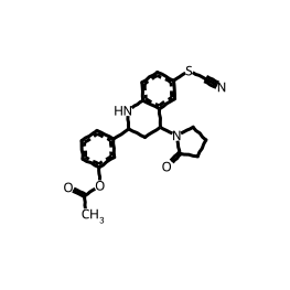 CC(=O)Oc1cccc(C2CC(N3CCCC3=O)c3cc(SC#N)ccc3N2)c1